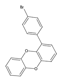 Brc1ccc(-c2cccc3c2Oc2ccccc2O3)cc1